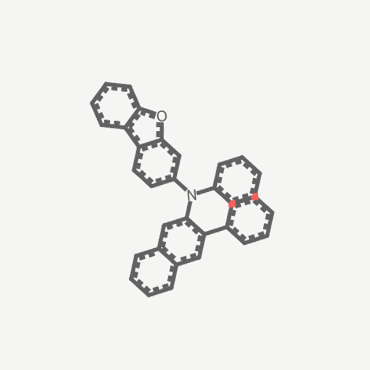 c1ccc(-c2cc3ccccc3cc2N(c2ccccc2)c2ccc3c(c2)oc2ccccc23)cc1